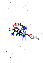 COCCc1nc(-c2c(-n3ccnc3)c3cc(OC)c(Cl)c(C#N)c3n2C)n[nH]1